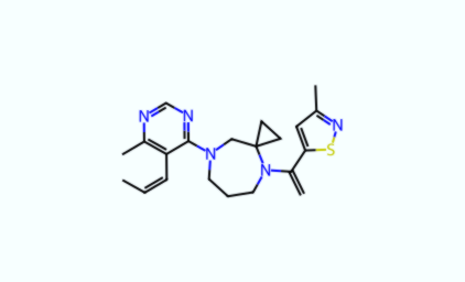 C=C(c1cc(C)ns1)N1CCCN(c2ncnc(C)c2/C=C\C)CC12CC2